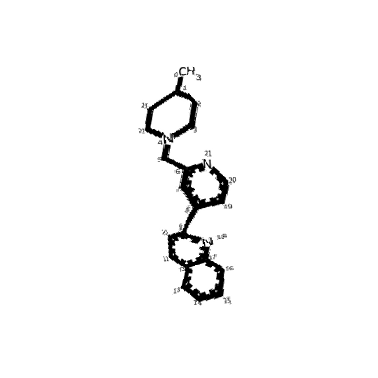 CC1CCN(Cc2cc(-c3ccc4ccccc4n3)ccn2)CC1